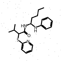 CCCCC(NC(=O)C(Sc1ccccn1)C(C)C)Nc1ccccc1